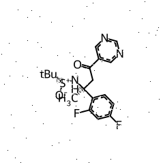 CC(C)(C)[S@@+]([O-])N[C@@](C)(CC(=O)c1cncnc1)c1ccc(F)cc1F